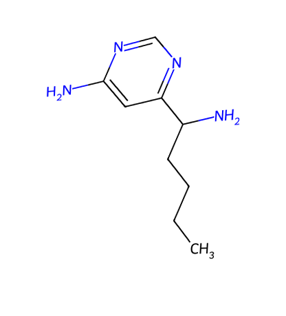 CCCCC(N)c1cc(N)ncn1